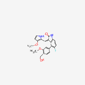 COc1cc(-c2c(F)ccc3c2C(=Cc2[nH]ccc2OC)C(=O)N3)ccc1CO